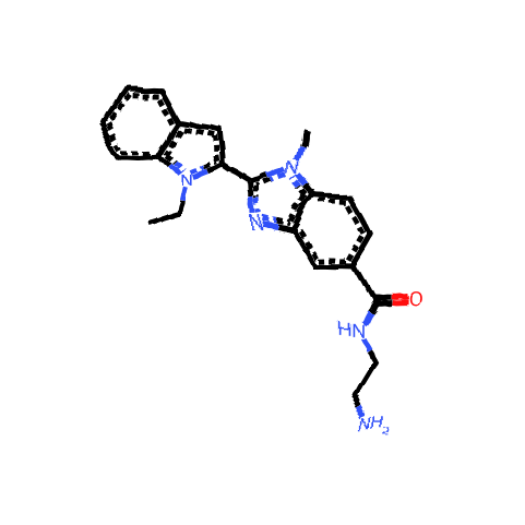 CCn1c(-c2nc3cc(C(=O)NCCN)ccc3n2C)cc2ccccc21